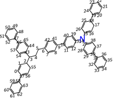 C1=CC(C(CCc2ccc(-c3ccc(N(C4=CCC(c5ccccc5)C=C4)c4ccc(-c5ccccc5)cc4)cc3)cc2)c2ccc(-c3ccccc3)cc2)CC=C1c1ccccc1